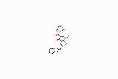 CCn1cc(C(=O)N2C[C@@H](C)OC[C@H]2C)c(=O)c2cc(OC3Cc4ccccc4C3)cnc21